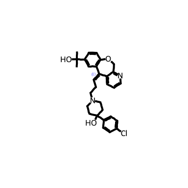 CC(C)(O)c1ccc2c(c1)/C(=C/CCN1CCC(O)(c3ccc(Cl)cc3)CC1)c1cccnc1CO2